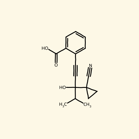 CC(C)C(O)(C#Cc1ccccc1C(=O)O)C1(C#N)CC1